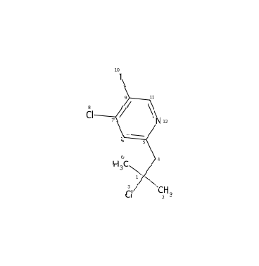 CC(C)(Cl)Cc1[c]c(Cl)c(I)cn1